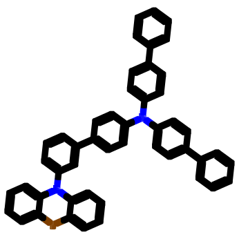 c1ccc(-c2ccc(N(c3ccc(-c4ccccc4)cc3)c3ccc(-c4cccc(N5c6ccccc6Sc6ccccc65)c4)cc3)cc2)cc1